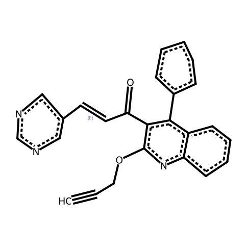 C#CCOc1nc2ccccc2c(-c2ccccc2)c1C(=O)/C=C/c1cncnc1